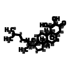 CC(C)CCC[C@@H](C)[C@H]1CC[C@H]2[C@@H]3CCC4CC(=O)C(O)=C(O)[C@]4(C)[C@H]3CC[C@]12C